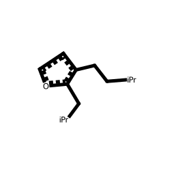 CC(C)CCc1ccoc1CC(C)C